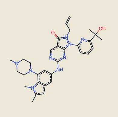 C=CCn1c(=O)c2cnc(Nc3cc(N4CCN(C)CC4)c4c(c3)cc(C)n4C)nc2n1-c1cccc(C(C)(C)O)n1